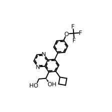 OC[C@H](O)c1c(C2CCC2)cc(-c2ccc(OC(F)(F)F)cc2)c2nccnc12